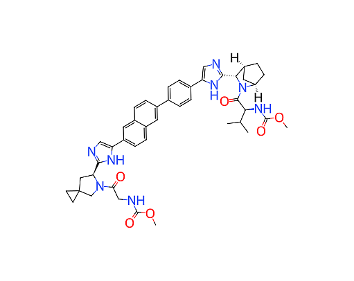 COC(=O)NCC(=O)N1CC2(CC2)C[C@H]1c1ncc(-c2ccc3cc(-c4ccc(-c5cnc([C@@H]6[C@H]7CC[C@H](C7)N6C(=O)[C@@H](NC(=O)OC)C(C)C)[nH]5)cc4)ccc3c2)[nH]1